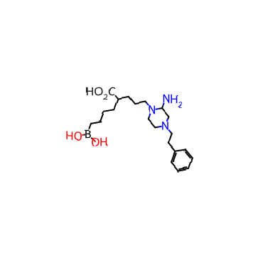 NC1CN(CCc2ccccc2)CCN1CCCC(CCCCB(O)O)C(=O)O